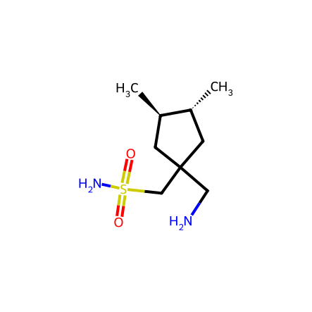 C[C@@H]1CC(CN)(CS(N)(=O)=O)C[C@H]1C